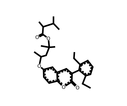 CCc1cccc(CC)c1-c1cc2cc(OC(C)CC(C)(C)OC(=O)C(C)C(C)C)ccc2oc1=O